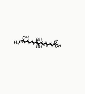 CC(O)CCCCCC(O)C(O)CCCCCCC(=O)O